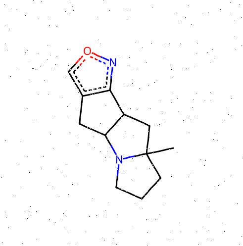 CC12CCCN1C1Cc3conc3C1C2